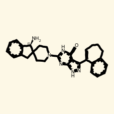 N[C@@H]1c2ccccc2CC12CCN(c1nc3[nH]nc(C4=CCCCc5ccccc54)c3c(=O)[nH]1)CC2